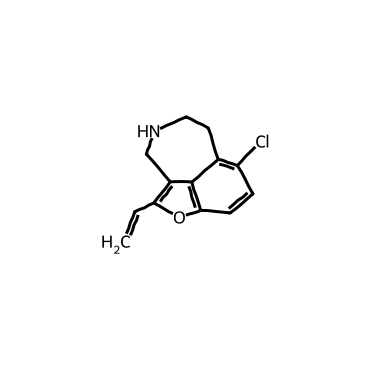 C=Cc1oc2ccc(Cl)c3c2c1CNCC3